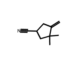 C=C1CC(C#N)CC1(C)C